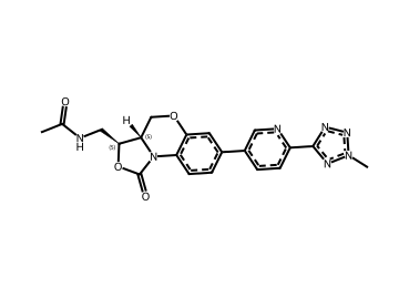 CC(=O)NC[C@@H]1OC(=O)N2c3ccc(-c4ccc(-c5nnn(C)n5)nc4)cc3OC[C@@H]12